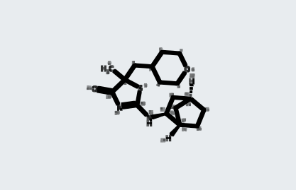 CC1(CC2CCOCC2)SC(N[C@H]2C[C@H]3CC[C@H]2C3)=NC1=O